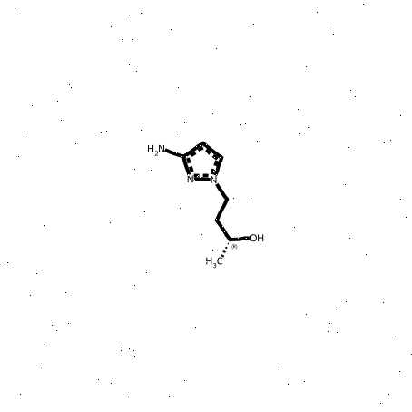 C[C@@H](O)CCn1ccc(N)n1